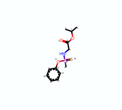 CC(C)OC(=O)CNP(C)(=S)Oc1ccccc1